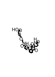 O=C(O)COCCOCCNC(=O)C1=NCN(c2cccc3c2C(=O)N(C2CCC(=O)NC2=O)C3=O)C=C1